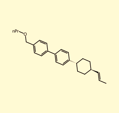 CC=C[C@H]1CC[C@H](c2ccc(-c3ccc(COCCC)cc3)cc2)CC1